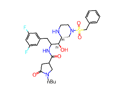 CCCCN1CC(C(=O)NC(Cc2cc(F)cc(F)c2)[C@H](O)[C@H]2CN(S(=O)(=O)Cc3ccccc3)CCN2)CC1=O